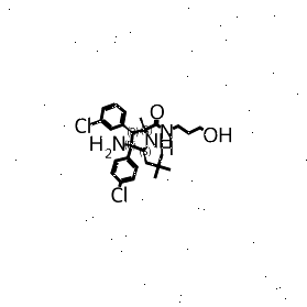 CC(C)(C)C[C@@H]1N[C@@](C)(C(=O)NCCCO)[C@H](c2cccc(Cl)c2)[C@@]1(N)c1ccc(Cl)cc1